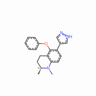 C[C@H]1CCc2c(ccc(-c3cn[nH]c3)c2Oc2ccccc2)N1C